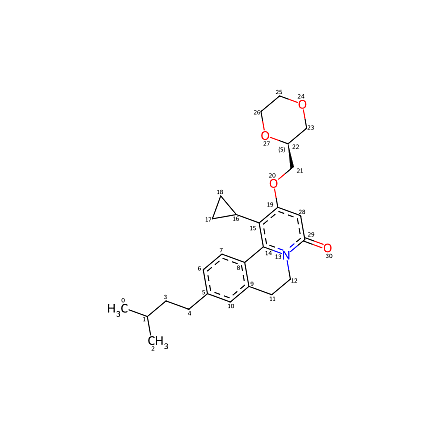 CC(C)CCc1ccc2c(c1)CCn1c-2c(C2CC2)c(OC[C@@H]2COCCO2)cc1=O